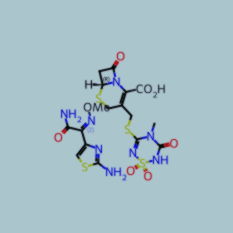 CN1C(=O)NS(=O)(=O)N=C1SCC1=C(C(=O)O)N2C(=O)C[C@H]2SC1.CO/N=C(\C(N)=O)c1csc(N)n1